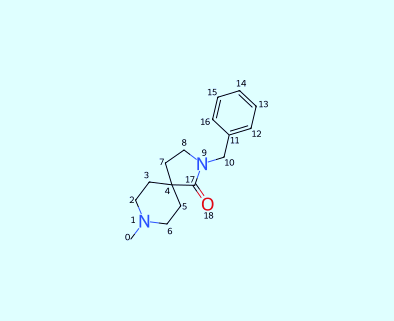 CN1CCC2(CC1)CCN(Cc1ccccc1)C2=O